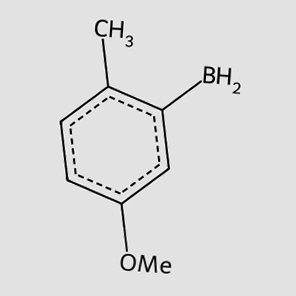 Bc1cc(OC)ccc1C